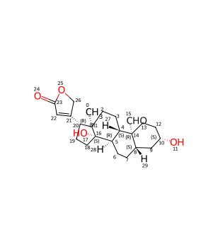 C[C@]12CC[C@H]3[C@@H](CC[C@H]4C[C@@H](O)CC[C@@]43C=O)[C@@]1(O)CC[C@@H]2C1=CC(=O)OC1